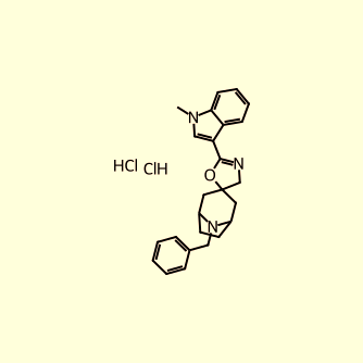 Cl.Cl.Cn1cc(C2=NCC3(CC4CCC(C3)N4Cc3ccccc3)O2)c2ccccc21